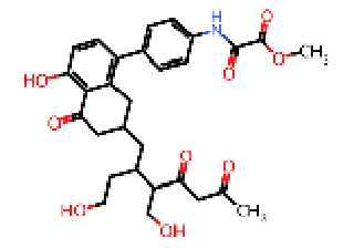 COC(=O)C(=O)Nc1ccc(-c2ccc(O)c3c2CC(CC(CCO)C(CO)C(=O)CC(C)=O)CC3=O)cc1